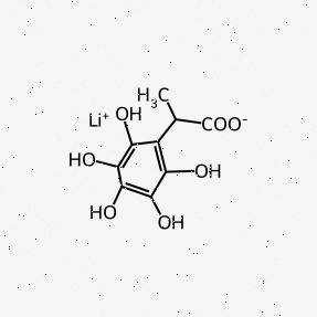 CC(C(=O)[O-])c1c(O)c(O)c(O)c(O)c1O.[Li+]